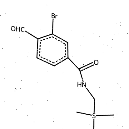 CS(C)(C)CNC(=O)c1ccc(C=O)c(Br)c1